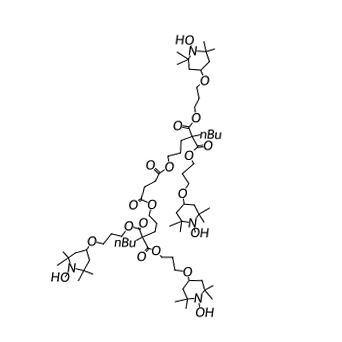 CCCCC(CCCOC(=O)CCC(=O)OCCCC(CCCC)(C(=O)OCCCOC1CC(C)(C)N(O)C(C)(C)C1)C(=O)OCCCOC1CC(C)(C)N(O)C(C)(C)C1)(C(=O)OCCCOC1CC(C)(C)N(O)C(C)(C)C1)C(=O)OCCCOC1CC(C)(C)N(O)C(C)(C)C1